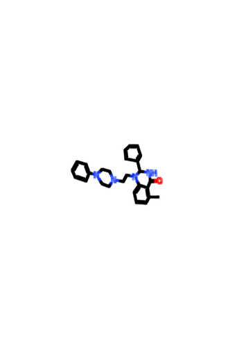 Cc1cccc2c1C(=O)NC(c1ccccc1)N2CCN1CCN(c2ccccc2)CC1